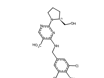 COc1c(Cl)cc(CNc2nc(N3CCC[C@H]3CO)ncc2C(=O)O)cc1Cl